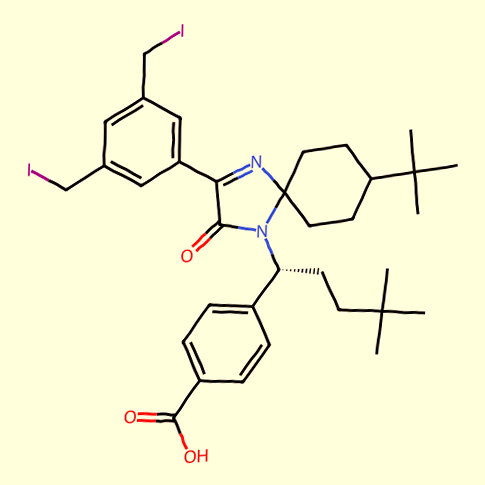 CC(C)(C)CC[C@H](c1ccc(C(=O)O)cc1)N1C(=O)C(c2cc(CI)cc(CI)c2)=NC12CCC(C(C)(C)C)CC2